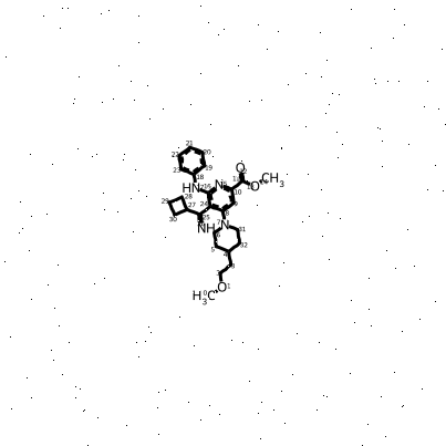 COCCC1CCN(c2cc(C(=O)OC)nc(Nc3ccccc3)c2C(=N)C2CCC2)CC1